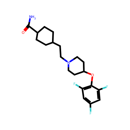 NC(=O)C1CCC(CCN2CCC(Oc3c(F)cc(F)cc3F)CC2)CC1